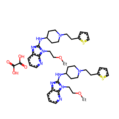 CCOCCn1c(NC2CCN(CCc3cccs3)CC2)nc2cccnc21.CCOCCn1c(NC2CCN(CCc3cccs3)CC2)nc2cccnc21.O=C(O)C(=O)O